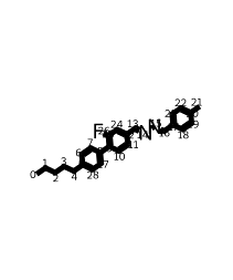 CCCCCc1ccc(-c2ccc(C=NN=Cc3ccc(C)cc3)cc2F)cc1